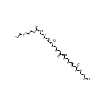 O=C(NCSC/N=C/[S+]([O-])CSCSC(=O)NCSC/N=C/[S+]([O-])CCSCCO)SCCSCCO